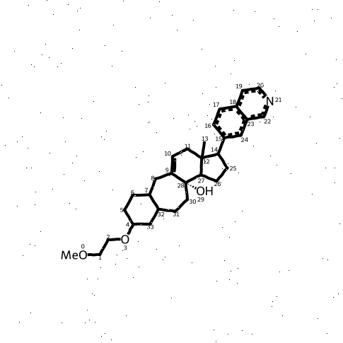 COCCOC1CCC2CC3=CCC4(C)C(c5ccc6ccncc6c5)CCC4[C@@]3(O)CCC2C1